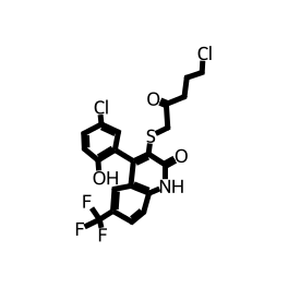 O=C(CCCCl)CSc1c(-c2cc(Cl)ccc2O)c2cc(C(F)(F)F)ccc2[nH]c1=O